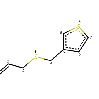 C=CCSCc1ccsc1